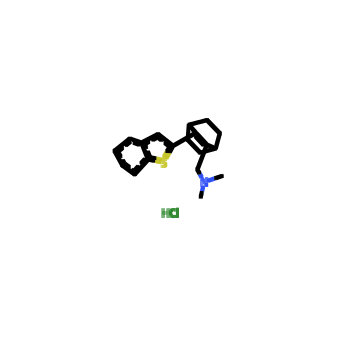 CN(C)CC1=C(c2cc3ccccc3s2)C2CCC1CC2.Cl